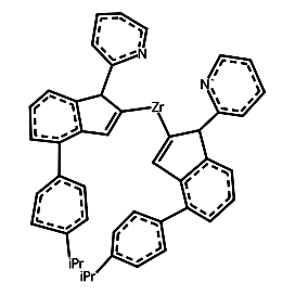 CC(C)c1ccc(-c2cccc3c2C=[C]([Zr][C]2=Cc4c(-c5ccc(C(C)C)cc5)cccc4C2c2ccccn2)C3c2ccccn2)cc1